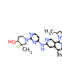 CC(C)c1cnc(N2CCC2C)c2cnc(Nc3ccnc(N4CCC(O)[C@](C)(F)C4)n3)cc12